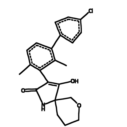 Cc1ccc(-c2ccc(Cl)cc2)c(C)c1C1=C(O)C2(CCCOC2)NC1=O